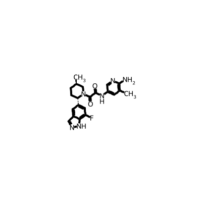 Cc1cc(NC(=O)C(=O)N2C[C@H](C)CC[C@H]2c2cc(F)c3[nH]ncc3c2)cnc1N